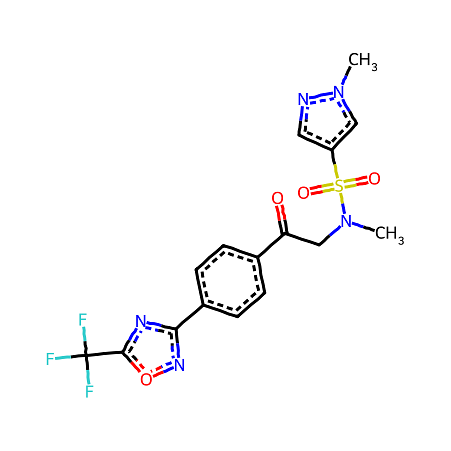 CN(CC(=O)c1ccc(-c2noc(C(F)(F)F)n2)cc1)S(=O)(=O)c1cnn(C)c1